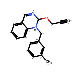 C#CCOC1N=Cc2ccccc2N1Cc1cccc(C)c1